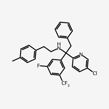 Cc1ccc(CCNC(Cc2ccccc2)(c2cc(F)cc(C(F)(F)F)c2)c2ccc(Cl)cn2)cc1